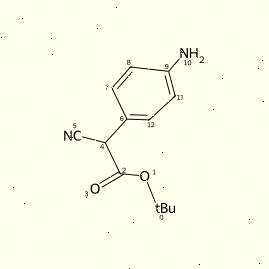 CC(C)(C)OC(=O)C(C#N)c1ccc(N)cc1